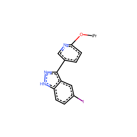 CC(C)Oc1ccc(-c2n[nH]c3ccc(I)cc23)cn1